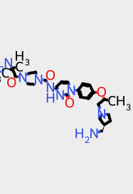 CC(CN1CC[C@H](CN)C1)Oc1ccc(-n2ccc(NC(=O)N3CCN(C(=O)C(C)(C)N)CC3)nc2=O)cc1